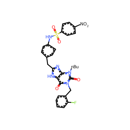 CCCCn1c(=O)n(Cc2ccccc2F)c(=O)c2[nH]c(Cc3ccc(NS(=O)(=O)c4ccc([N+](=O)[O-])cc4)cc3)nc21